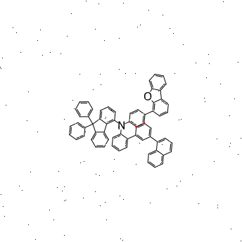 c1ccc(C2(c3ccccc3)c3ccccc3-c3c(N(c4ccc(-c5cccc6c5oc5ccccc56)cc4)c4ccccc4-c4cccc(-c5cccc6ccccc56)c4)cccc32)cc1